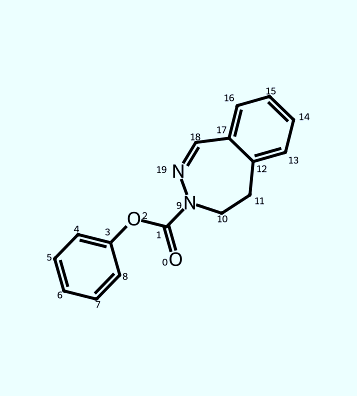 O=C(Oc1ccccc1)N1CCc2ccccc2C=N1